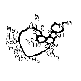 CO[C@H]1/C=C/O[C@@]2(C)Oc3c(C)c(O)c4c(c3C2=O)C2=NC3(CCN(CC(C)C)CC3)NC2=C(NC(=O)/C(C)=C/C=C/[C@H](C)[C@H](O)[C@@H](C)[C@@H](O)[C@@H](C)[C@H](OC(C)=O)[C@@H]1C)C4=O